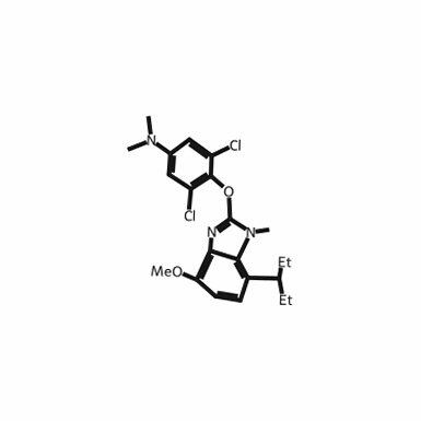 CCC(CC)c1ccc(OC)c2nc(Oc3c(Cl)cc(N(C)C)cc3Cl)n(C)c12